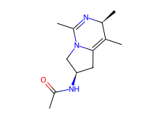 CC(=O)N[C@@H]1CC2=C(C)[C@H](C)N=C(C)N2C1